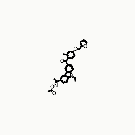 CCn1c2ccc(C(=O)c3ccc(OCC4CC=CO4)cc3C)cc2c2cc(/C(C)=N/OC(C)=O)ccc21